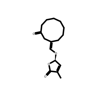 CC1=C[C@H](O/C=C2\CCCCCCCC(=O)C2)OC1=O